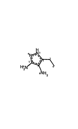 CCc1[nH]nc(N)c1N